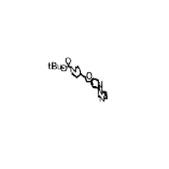 CC(C)(C)OC(=O)N1CCC(C2Cc3cc(-n4ccnc4)ncc3O2)CC1